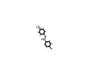 [CH2]c1ccc(NCc2ccc(Cl)cc2)cc1